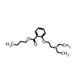 CCCCOC(=O)c1ccccc1OCCN(CC)CC